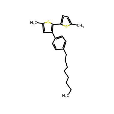 CCCCCCCCc1ccc(-c2cc(C)sc2-c2ccc(C)s2)cc1